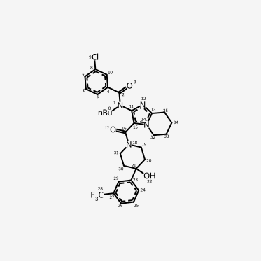 CCCCN(C(=O)c1cccc(Cl)c1)c1nc2n(c1C(=O)N1CCC(O)(c3cccc(C(F)(F)F)c3)CC1)CCCC2